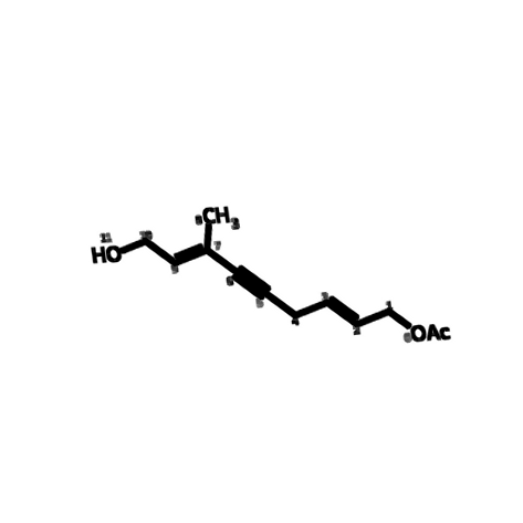 CC(=O)OC/C=C/CC#C/C(C)=C/CO